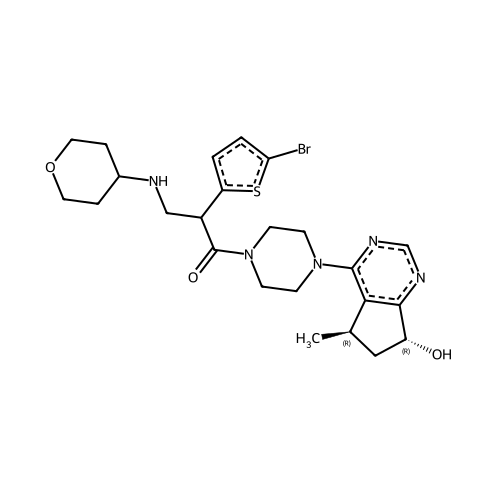 C[C@@H]1C[C@@H](O)c2ncnc(N3CCN(C(=O)C(CNC4CCOCC4)c4ccc(Br)s4)CC3)c21